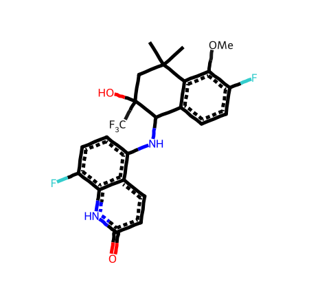 COc1c(F)ccc2c1C(C)(C)CC(O)(C(F)(F)F)C2Nc1ccc(F)c2[nH]c(=O)ccc12